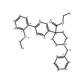 CCOC(=O)C1(c2cnc(-c3cccnc3OCC)cn2)CCN(Cc2ccccc2)CC1